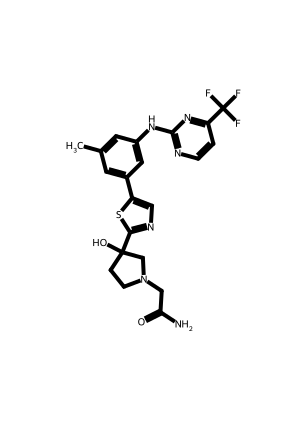 Cc1cc(Nc2nccc(C(F)(F)F)n2)cc(-c2cnc(C3(O)CCN(CC(N)=O)C3)s2)c1